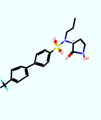 CCCN([C@H]1CCN(O)C1=O)S(=O)(=O)c1ccc(-c2ccc(C(F)(F)F)cc2)cc1